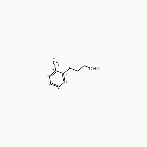 O=CCCCc1ccccc1C(F)(F)F